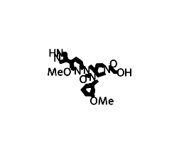 COc1cccc(CN2C(=O)N(c3ccc(-c4cn[nH]c4)c(OC)n3)CC23CCN(C(=O)CO)CC3)c1